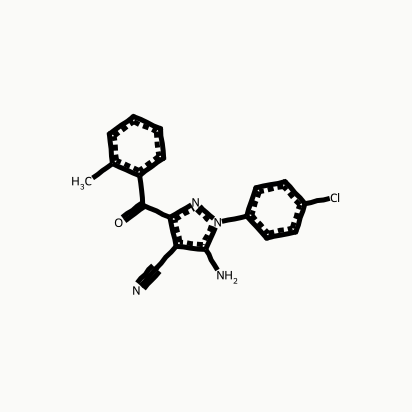 Cc1ccccc1C(=O)c1nn(-c2ccc(Cl)cc2)c(N)c1C#N